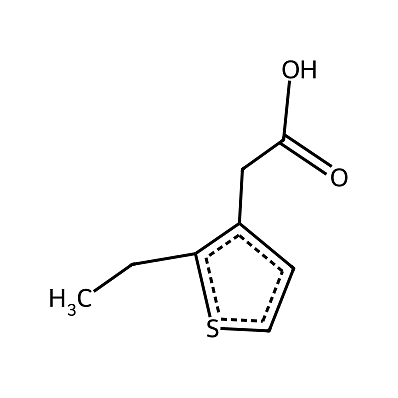 CCc1sccc1CC(=O)O